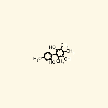 Cc1ccc(-c2c(C)c(O)c(C)c(C)c2O)c(O)c1